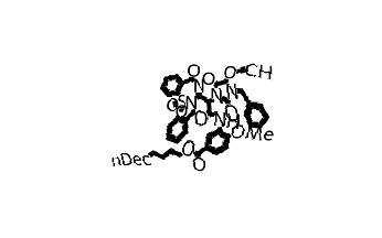 C#COC1C(=O)N(C(C(=O)Nc2cc(C(=O)OCCCCCCCCCCCCCC)ccc2OC)C2=NC(=O)c3ccccc3S(=O)(=O)N2Cc2ccccc2)C(=O)N1Cc1ccccc1